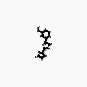 CCc1cccc(-c2cnc(-c3cccs3)s2)c1